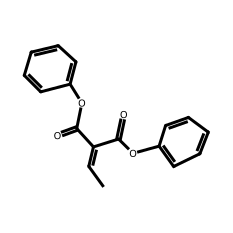 CC=C(C(=O)Oc1ccccc1)C(=O)Oc1ccccc1